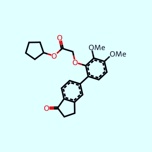 COc1ccc(-c2ccc3c(c2)CCC3=O)c(OCC(=O)OC2CCCC2)c1OC